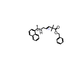 C[C@@H](NC/C=C/C(C)(C)C(=O)OCc1ccccc1)c1cccc2ccccc12